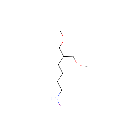 COCC(CCCCNI)COC